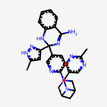 Cc1ncc(CN2C3CC2CN(c2ccc(C4(c5cc(C)[nH]n5)N=C(N)c5ccccc5N4)cn2)C3)cn1